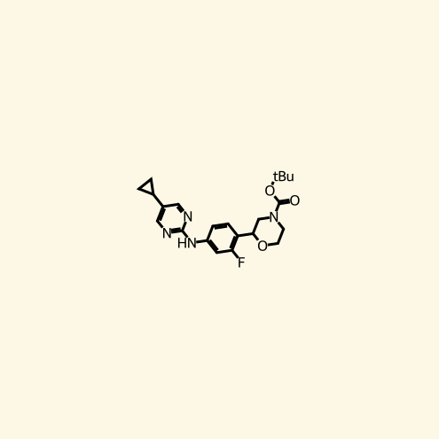 CC(C)(C)OC(=O)N1CCOC(c2ccc(Nc3ncc(C4CC4)cn3)cc2F)C1